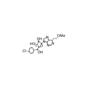 COCCc1ncnc2c1ncn2[C@@H]1O[C@H]([C@H](O)c2ccc(Cl)cc2)[C@@H](O)[C@H]1O